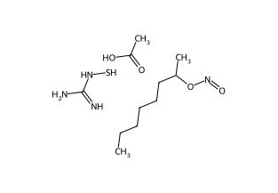 CC(=O)O.CCCCCCC(C)ON=O.N=C(N)NS